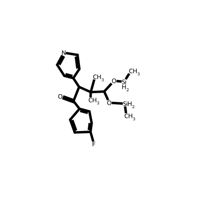 C[SiH2]OC(O[SiH2]C)C(C)(C)C(C(=O)c1ccc(F)cc1)c1ccncc1